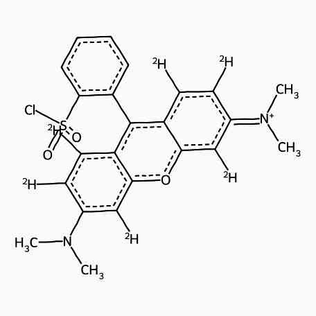 [2H]c1c2c(-c3ccccc3S(=O)(=O)Cl)c3c([2H])c([2H])c(N(C)C)c([2H])c3oc-2c([2H])c(=[N+](C)C)c1[2H]